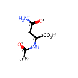 CCCC(=O)NC(CC(N)=O)C(=O)O